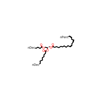 CCCCC/C=C\C/C=C\C/C=C\CCCCCCCCC(=O)OC[C@@H](COC(=O)CCCCCCCCCCCCC)OC(=O)CCCCCCCCCCCCCCCCC